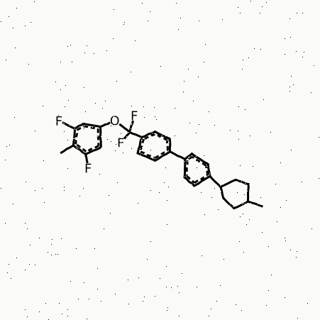 Cc1c(F)cc(OC(F)(F)c2ccc(-c3ccc(C4CCC(C)CC4)cc3)cc2)cc1F